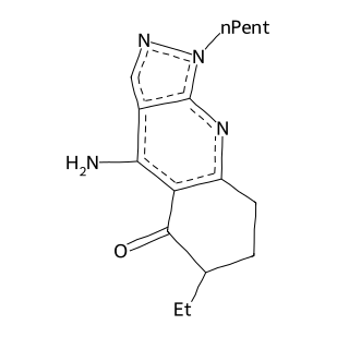 CCCCCn1ncc2c(N)c3c(nc21)CCC(CC)C3=O